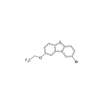 FC(F)(F)COc1ccc2sc3ccc(Br)cc3c2c1